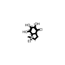 CC[N+]1(C)CCC2C(Cl)=C(O)C(O)=C(O)C21